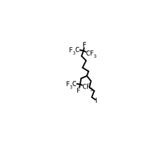 FC(F)(F)C(F)(CCCCC(CCCCI)CC(F)(C(F)(F)F)C(F)(F)F)C(F)(F)F